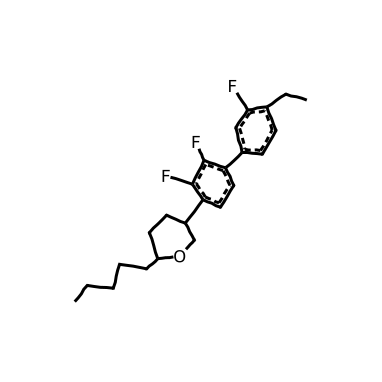 CCCCCC1CCC(c2ccc(-c3ccc(CC)c(F)c3)c(F)c2F)CO1